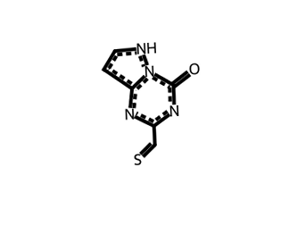 O=c1nc(C=S)nc2cc[nH]n12